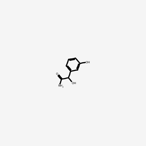 NC(=O)C(O)c1cccc(O)c1